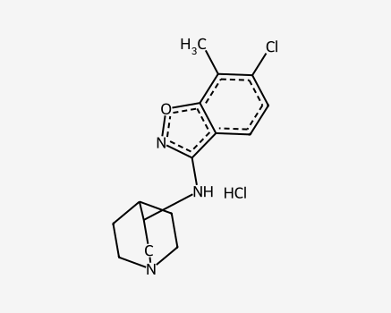 Cc1c(Cl)ccc2c(NC3CN4CCC3CC4)noc12.Cl